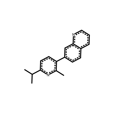 Cc1nc(C(C)C)ccc1-c1ccc2cccnc2c1